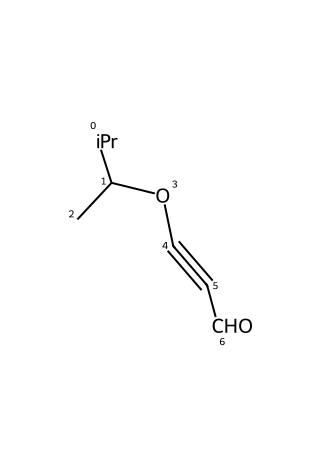 CC(C)C(C)OC#CC=O